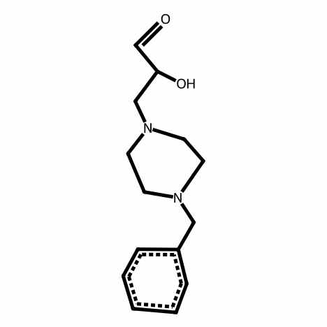 O=CC(O)CN1CCN(Cc2ccccc2)CC1